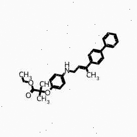 CCOC(=O)C(C)(C)Oc1ccc(NC/C=C(\C)c2ccc(-c3ccccc3)cc2)cc1